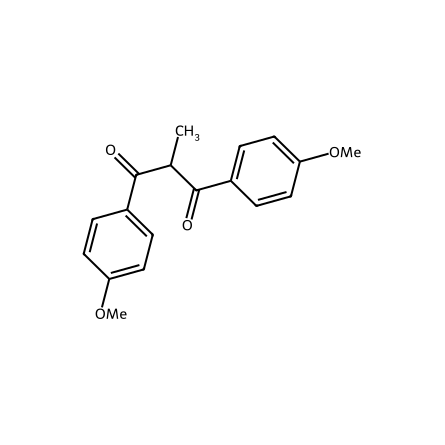 COc1ccc(C(=O)C(C)C(=O)c2ccc(OC)cc2)cc1